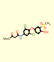 COC(=O)CC(=O)Nc1cc(Cl)c(Oc2ccc(O)c(S(C)(=O)=O)c2)c(Cl)c1